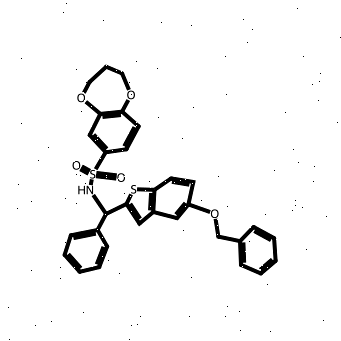 O=S(=O)(NC(c1ccccc1)c1cc2cc(OCc3ccccc3)ccc2s1)c1ccc2c(c1)OCCCO2